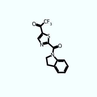 O=C(c1ncc(C(=O)C(F)(F)F)s1)N1CCc2ccccc21